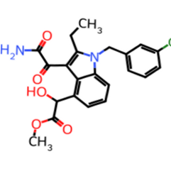 CCc1c(C(=O)C(N)=O)c2c(C(O)C(=O)OC)cccc2n1Cc1cccc(Cl)c1